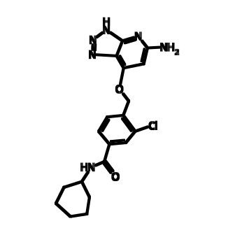 Nc1cc(OCc2ccc(C(=O)NC3CCCCC3)cc2Cl)c2nn[nH]c2n1